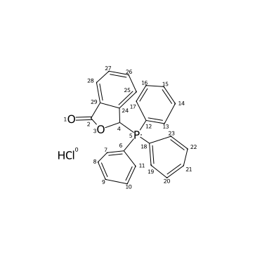 Cl.O=C1OC([P](c2ccccc2)(c2ccccc2)c2ccccc2)c2ccccc21